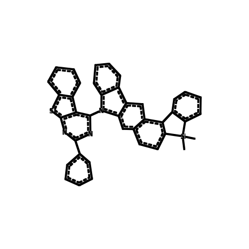 C[Si]1(C)c2ccccc2-c2c1ccc1cc3c(cc21)c1ccccc1n3-c1nc(-c2ccccc2)nc2sc3ccccc3c12